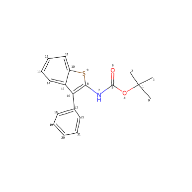 CC(C)(C)OC(=O)Nc1sc2ccccc2c1-c1ccccc1